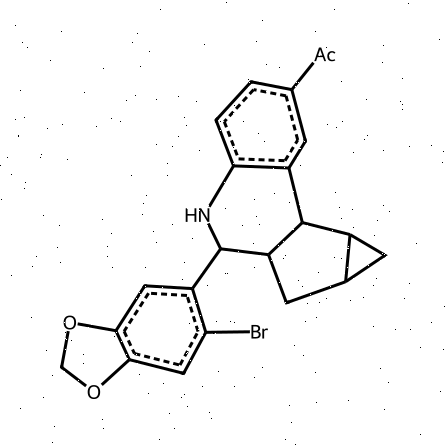 CC(=O)c1ccc2c(c1)C1C3CC3CC1C(c1cc3c(cc1Br)OCO3)N2